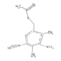 C#[Si]c1cc(COC(C)=O)c(C)c(C)c1C